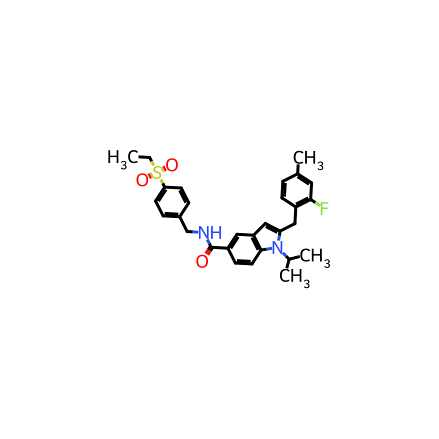 CCS(=O)(=O)c1ccc(CNC(=O)c2ccc3c(c2)cc(Cc2ccc(C)cc2F)n3C(C)C)cc1